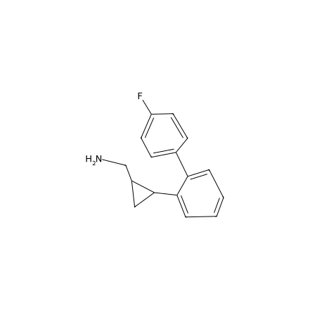 NCC1CC1c1ccccc1-c1ccc(F)cc1